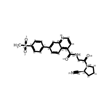 CS(=O)(=O)c1ccc(-c2ccc3c(C(=O)NCC(=O)N4CCC[C@H]4C#N)ccnc3c2)cc1